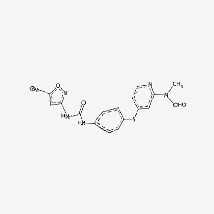 CN(C=O)c1cc(Sc2ccc(NC(=O)Nc3cc(C(C)(C)C)on3)cc2)ccn1